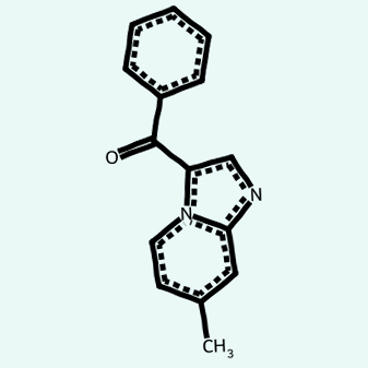 Cc1ccn2c(C(=O)c3ccccc3)cnc2c1